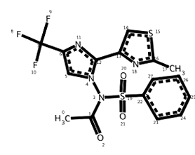 CC(=O)N(n1cc(C(F)(F)F)nc1-c1csc(C)n1)S(=O)(=O)c1ccccc1